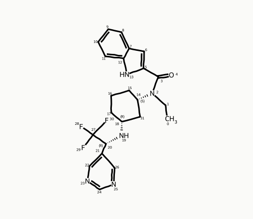 CCN(C(=O)c1cc2ccccc2[nH]1)[C@H]1CCC[C@@H](N[C@H](c2cncnc2)C(F)(F)F)C1